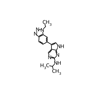 CCn1nnc2ccc(-c3c[nH]c4nc(NC(C)C)ncc34)cc21